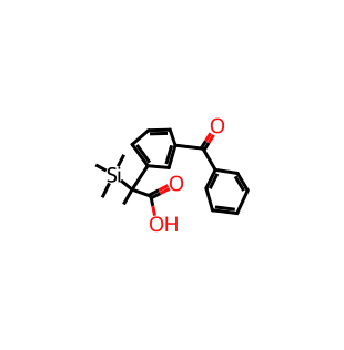 CC(C(=O)O)(c1cccc(C(=O)c2ccccc2)c1)[Si](C)(C)C